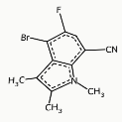 Cc1c(C)n(C)c2c(C#N)cc(F)c(Br)c12